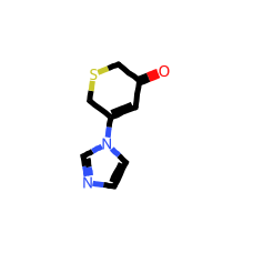 O=C1C=C(n2ccnc2)CSC1